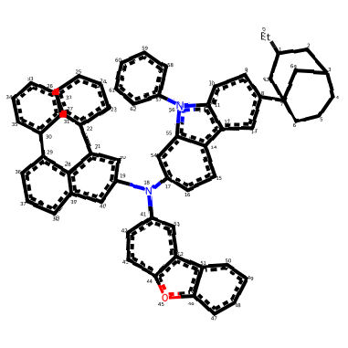 CCC1CC2CCCC(c3ccc4c(c3)c3ccc(N(c5cc(-c6ccccc6)c6c(-c7ccccc7)cccc6c5)c5ccc6oc7ccccc7c6c5)cc3n4-c3ccccc3)(C1)C2